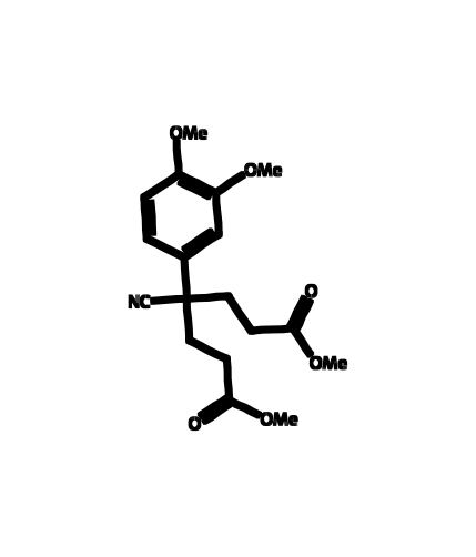 COC(=O)CCC(C#N)(CCC(=O)OC)c1ccc(OC)c(OC)c1